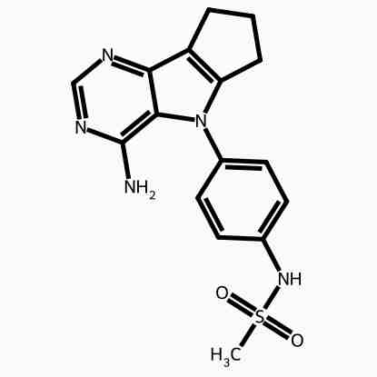 CS(=O)(=O)Nc1ccc(-n2c3c(c4ncnc(N)c42)CCC3)cc1